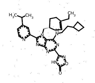 CCC1=CC[C@H](Cn2c(-c3cc(C(C)C)ccn3)nc3nc(-c4noc(=O)[nH]4)nc(NCCC4CCC4)c32)CC1